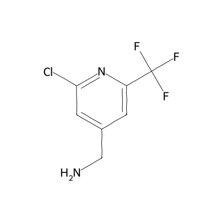 NCc1cc(Cl)nc(C(F)(F)F)c1